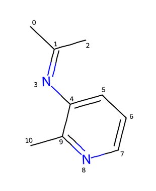 CC(C)=Nc1cccnc1C